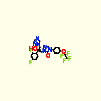 O=c1n(-c2ccc(OC(F)(F)C(F)F)cc2)cnn1C[C@](O)(Cn1cncn1)c1ccc(F)cc1F